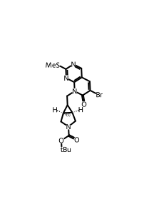 CSc1ncc2cc(Br)c(=O)n(CC3[C@H]4CN(C(=O)OC(C)(C)C)C[C@@H]34)c2n1